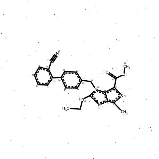 CCNc1nc2c(C)sc(C(=O)OC)c2n1Cc1ccc(-c2ccccc2C#N)cc1